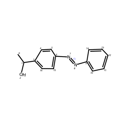 CC(O)c1ccc(/N=N/c2ccccc2)cc1